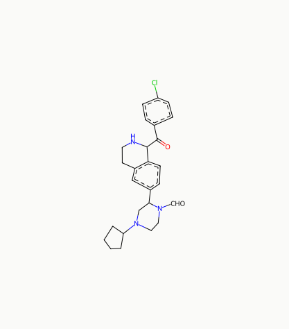 O=CN1CCN(C2CCCC2)CC1c1ccc2c(c1)CCNC2C(=O)c1ccc(Cl)cc1